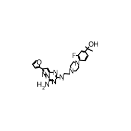 CN(CCN1CCN(c2ccc(C(C)(C)O)cc2F)CC1)c1nc(N)n2nc(-c3ccco3)cc2n1